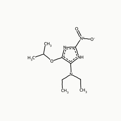 CCN(CC)c1[nH]c([N+](=O)[O-])nc1OC(C)C